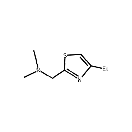 [CH2]Cc1csc(CN(C)C)n1